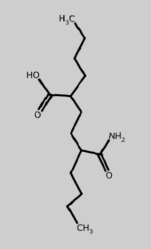 CCCCC(CCC(CCCC)C(=O)O)C(N)=O